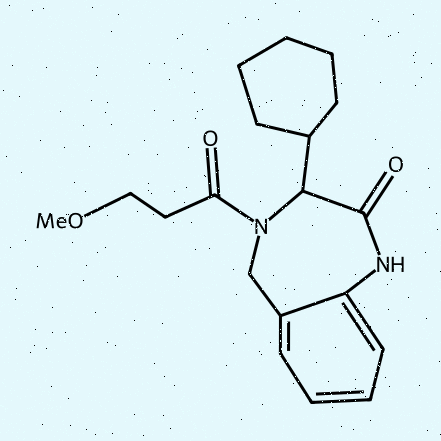 COCCC(=O)N1Cc2ccccc2NC(=O)C1C1CCCCC1